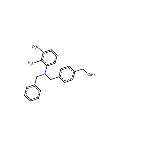 COCc1ccc(CN(Cc2ccccc2)c2cccc([N+](=O)[O-])c2C)cc1